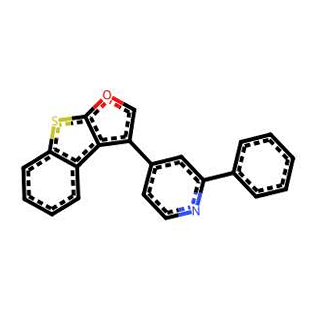 c1ccc(-c2cc(-c3coc4sc5ccccc5c34)ccn2)cc1